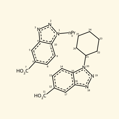 CCCn1nnc2cc(C(=O)O)ccc21.O=C(O)c1ccc2c(c1)nnn2C1CCCCC1